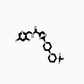 O=C(NCc1ncc(F)cc1F)c1cnc(N2CCC(N3CCC[C@@H](C(F)(F)F)C3)CC2)s1